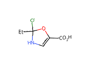 CCC1(Cl)NC=C(C(=O)O)O1